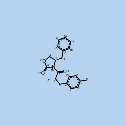 Cc1ccc(C[C@H](C)C(=O)N2C(=O)OC[C@H]2Cc2ccccc2)cc1